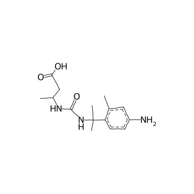 Cc1cc(N)ccc1C(C)(C)NC(=O)NC(C)CC(=O)O